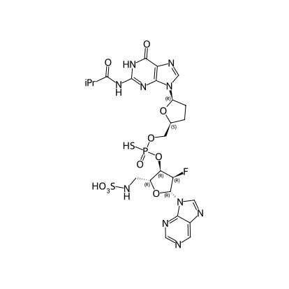 CC(C)C(=O)Nc1nc2c(ncn2[C@H]2CC[C@@H](COP(=O)(S)O[C@H]3[C@@H](F)[C@H](n4cnc5cncnc54)O[C@@H]3CNS(=O)(=O)O)O2)c(=O)[nH]1